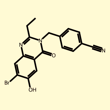 CCc1nc2cc(Br)c(O)cc2c(=O)n1Cc1ccc(C#N)cc1